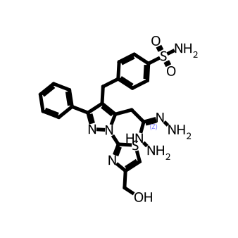 N/N=C(/Cc1c(Cc2ccc(S(N)(=O)=O)cc2)c(-c2ccccc2)nn1-c1nc(CO)cs1)NN